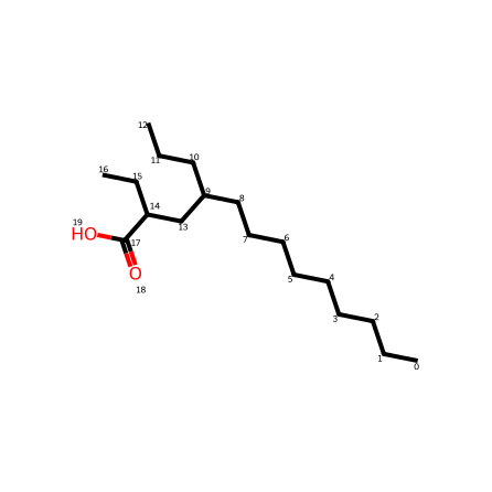 CCCCCCCCCC(CCC)CC(CC)C(=O)O